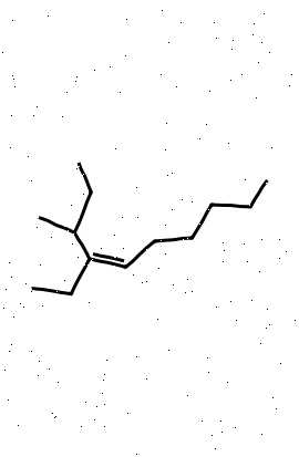 CCCCCC=C(CC)C(C)CC